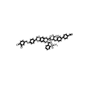 CS(=O)(=O)c1ccccc1C(=O)N1Cc2cc3c(cc2CC1C(=O)NC(Cc1ccc(-c2ccc(C#N)cc2)cc1)C(=O)O)OCC(c1ccc(OCc2ccc(Cl)c(Cl)c2)cc1)O3